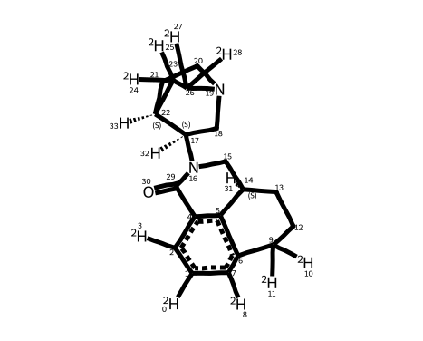 [2H]c1c([2H])c2c3c(c1[2H])C([2H])([2H])CC[C@@H]3CN([C@@H]1CN3CC[C@H]1C([2H])([2H])C3([2H])[2H])C2=O